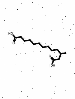 CC(CCCCCCCCCC(=O)O)CC(=O)O